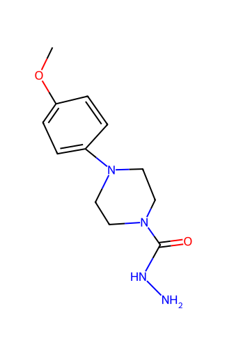 COc1ccc(N2CCN(C(=O)NN)CC2)cc1